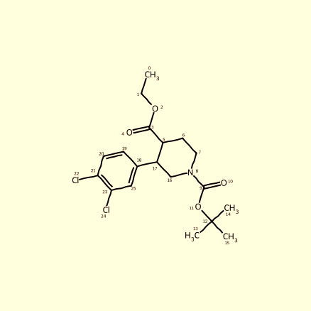 CCOC(=O)C1CCN(C(=O)OC(C)(C)C)CC1c1ccc(Cl)c(Cl)c1